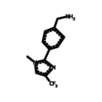 Cn1cc(C(F)(F)F)nc1-c1ccc(CN)cc1